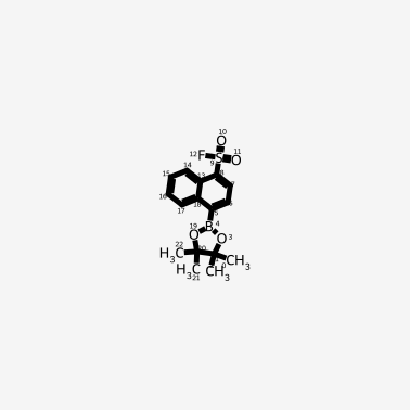 CC1(C)OB(c2ccc(S(=O)(=O)F)c3ccccc23)OC1(C)C